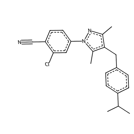 Cc1nn(-c2ccc(C#N)c(Cl)c2)c(C)c1Cc1ccc(C(C)C)cc1